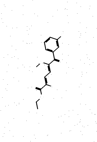 CCOC(=O)C(O)=CC=C(SC)C(=O)c1cccc(Cl)c1